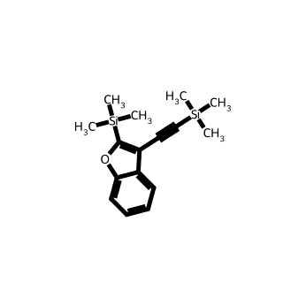 C[Si](C)(C)C#Cc1c([Si](C)(C)C)oc2ccccc12